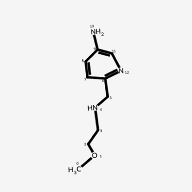 COCCNCc1ccc(N)cn1